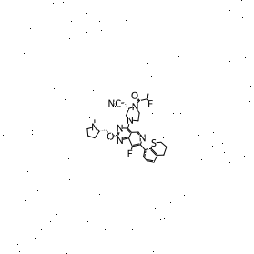 CC(F)C(=O)N1CCN(c2nc(OC[C@@H]3CCCN3C)nc3c(F)c(-c4cccc5c4SCCC5)ncc23)C[C@@H]1CC#N